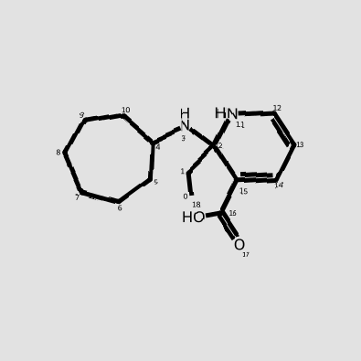 CCC1(NC2CCCCCC2)NC=CC=C1C(=O)O